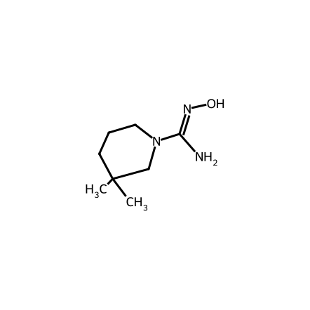 CC1(C)CCCN(C(N)=NO)C1